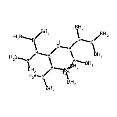 BB(B)B(B)B(BB(B(B(B)B)B(B)B)B(B(B)B)B(B)B)B(B)B